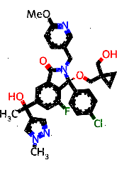 COc1ccc(CN2C(=O)c3cc(C(C)(O)c4cnn(C)c4)cc(F)c3[C@]2(OCC2(CO)CC2)c2ccc(Cl)cc2)cn1